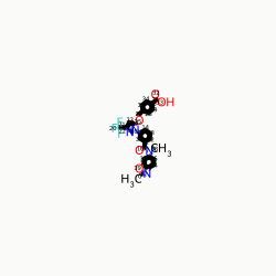 Cc1nc2ccc(N(C)C(=O)c3cccc(-n4nc(C(F)(F)F)cc4OCc4ccc(C(=O)O)cc4)c3)cc2o1